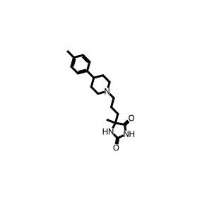 Cc1ccc(C2CCN(CCCC3(C)NC(=O)NC3=O)CC2)cc1